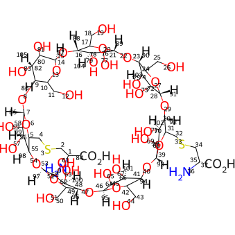 NC(CSCC1O[C@H]2O[C@@H]3C(CO)O[C@H](O[C@@H]4C(CO)O[C@H](O[C@@H]5C(CO)O[C@H](O[C@@H]6C(CSC[C@@H](N)C(=O)O)O[C@H](O[C@@H]7C(CO)O[C@@H](O[C@@H]8C(CO)O[C@@H](O[C@H]1[C@H](O)C2O)C(O)[C@H]8O)C(O)[C@H]7O)C(O)[C@H]6O)C(O)[C@H]5O)C(O)[C@H]4O)C(O)[C@H]3O)C(=O)O